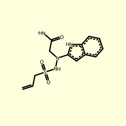 C=CCS(=O)(=O)NN(CC([NH])=O)c1cc2ccccc2[nH]1